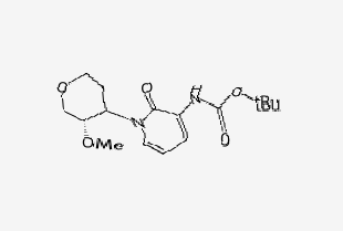 CO[C@@H]1COCCC1n1cccc(NC(=O)OC(C)(C)C)c1=O